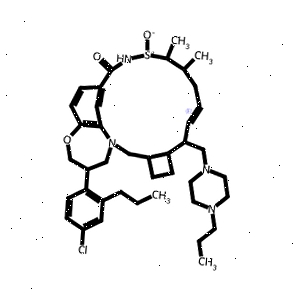 CCCc1cc(Cl)ccc1C1COc2ccc3cc2N(C1)CC1CCC1C(CN1CCN(CCC)CC1)/C=C/CC(C)C(C)[S+]([O-])NC3=O